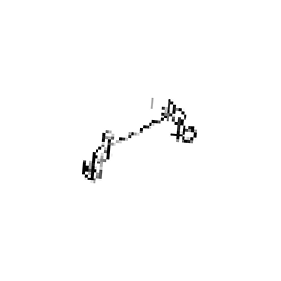 NC1CCC(c2ccccc2)NN1CCCCCCCCCCC(=O)N1CCN(c2ncccn2)CC1